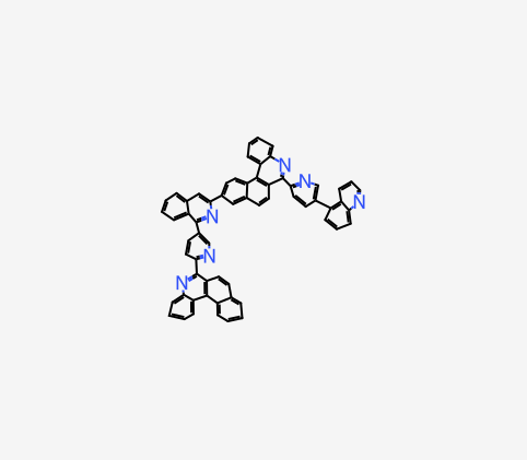 c1ccc2c(-c3ccc(-c4nc5ccccc5c5c4ccc4ccccc45)nc3)nc(-c3ccc4c(ccc5c(-c6ccc(-c7cccc8ncccc78)cn6)nc6ccccc6c54)c3)cc2c1